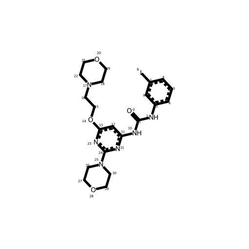 O=C(Nc1cccc(I)c1)Nc1cc(OCCN2CCOCC2)nc(N2CCOCC2)n1